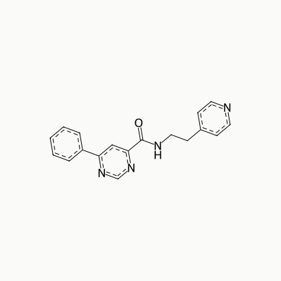 O=C(NCCc1ccncc1)c1cc(-c2ccccc2)ncn1